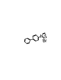 BrC1SC=CN1c1ccc(-c2ccccc2)cc1